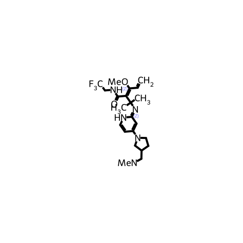 C=C/C(OC)=C(/C(=O)NCC(F)(F)F)C(C)(C)/N=c1/cc(N2CCC(CNC)C2)cc[nH]1